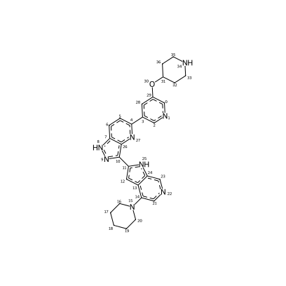 c1ncc(-c2ccc3[nH]nc(-c4cc5c(N6CCCCC6)cncc5[nH]4)c3n2)cc1OC1CCNCC1